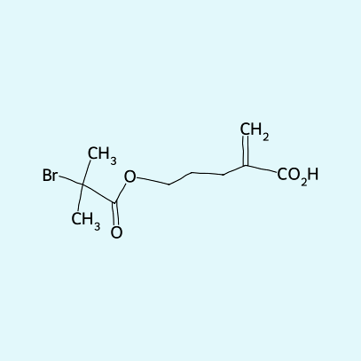 C=C(CCCOC(=O)C(C)(C)Br)C(=O)O